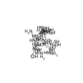 CC(C)C[C@H](NC(=O)[C@H](Cc1ccccc1)NC(=O)CN)C(=O)NCC(=O)N[C@@H](CCCCN)C(=O)N[C@@H](CCCNC(=N)N)C(=O)N[C@@H](CCCNC(=N)N)C(=O)N[C@@H](CCCNC(=N)N)C(=O)N[C@@H](CCCNC(=N)N)C(=O)N[C@@H](CS)C(=O)O